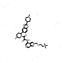 C[C@H]1CCC(c2ccc3sc(C4CCN(C)CC4)nc3c2)N(C(=O)C(=O)Nc2cncc3nn(COCC[Si](C)(C)C)cc23)C1